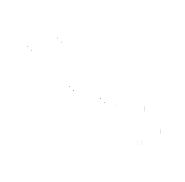 CC(C)(C)C(=O)ON1CCN(Cc2cncnc2)CC1